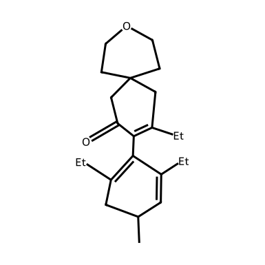 CCC1=CC(C)CC(CC)=C1C1=C(CC)CC2(CCOCC2)CC1=O